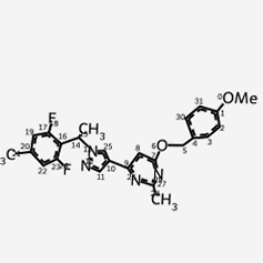 COc1ccc(COc2cc(-c3cnn(C(C)c4c(F)cc(C(F)(F)F)cc4F)c3)nc(C)n2)cc1